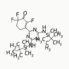 CC(C)(C)[Si](C)(C)Nc1nc(N[Si](C)(C)C(C)(C)C)nc(C2=C(F)C(=O)C(F)(F)CC2)n1